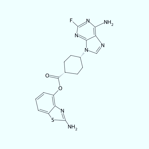 Nc1nc2c(OC(=O)[C@H]3CC[C@@H](n4cnc5c(N)nc(F)nc54)CC3)cccc2s1